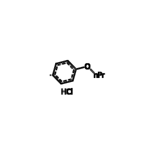 CCCOc1cc[c]cc1.Cl